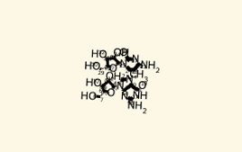 C[n+]1cn([C@@H]2O[C@H](CO)[C@@H](O)[C@H]2O)c2nc(N)[nH]c(=O)c21.Nc1ccn([C@@H]2O[C@H](CO)[C@@H](O)[C@H]2O)c(=O)n1